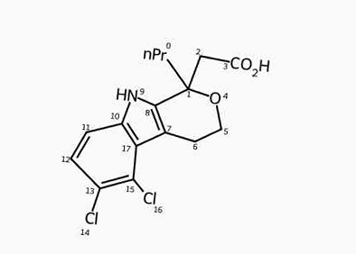 CCCC1(CC(=O)O)OCCc2c1[nH]c1ccc(Cl)c(Cl)c21